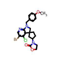 COc1ccc(CN2CC3(CCC(N4CCOC4=O)C3)c3c2ncc(Br)c3Cl)cc1